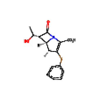 CC(O)[C@@H]1C(=O)N2C(C(=O)O)=C(Sc3ccccc3)[C@H](C)[C@@H]12